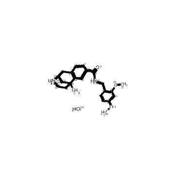 COc1ccc(CNC(=O)c2ccc3c(c2)C2(C)CCNC(C3)C2C)c(OC)c1.Cl